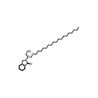 CCCCCCCCCCCCCCCCCCOC[C@H](CO)N1Cc2ccccc2C1=O